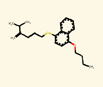 C=C(CCCSc1ccc(OCCCC)c2ccccc12)C(C)C